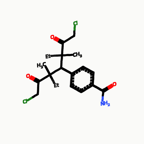 CCC(C)(C(=O)CCl)C(c1ccc(C(N)=O)cc1)C(C)(CC)C(=O)CCl